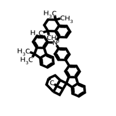 CC1(C)CCC(C)(C)c2c(N(c3ccc(-c4ccc5c(c4)C4(c6ccccc6-5)C5CC6CC7CC4C75C6)cc3)c3cccc4c3-c3ccccc3C4(C)C)cccc21